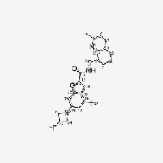 Cc1ccc2cccc(SNC(=O)c3cc4c(F)cc(N5CC(F)C5)cc4o3)c2n1